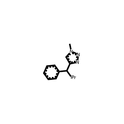 CC(C)C(c1ccccc1)c1cn(C)nn1